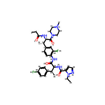 CCC(=O)N[C@@H](C(=O)N1CCN(C)CC1)[C@@H](C)c1ccc(NC(=O)C(NC(=O)c2ccnn2CC)[C@@H](C)c2ccc(F)cc2)c(F)c1